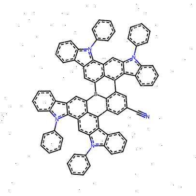 N#Cc1cc2c3c(c1)-c1c4c(cc5c6ccccc6n(-c6ccccc6)c5c4cc4c1c1ccccc1n4-c1ccccc1)B3c1cc3c4ccccc4n(-c4ccccc4)c3c3cc4c(c-2c13)c1ccccc1n4-c1ccccc1